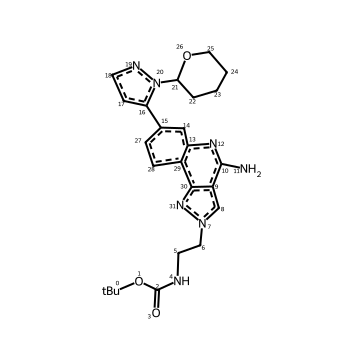 CC(C)(C)OC(=O)NCCn1cc2c(N)nc3cc(-c4ccnn4C4CCCCO4)ccc3c2n1